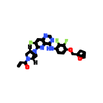 C=CC(=O)N1C[C@@H]2C[C@H]1CN2c1nc2c(Nc3ccc(OCC45CC(CO4)C5)c(F)c3F)ncnc2cc1F